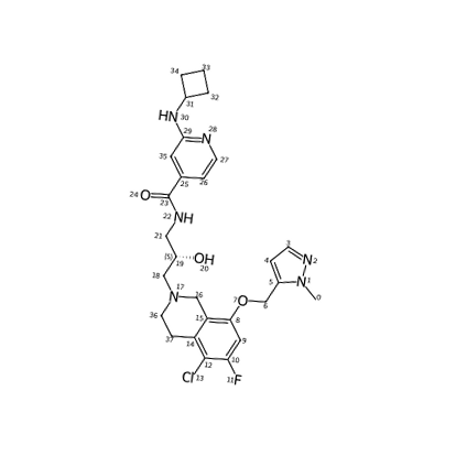 Cn1nccc1COc1cc(F)c(Cl)c2c1CN(C[C@@H](O)CNC(=O)c1ccnc(NC3CCC3)c1)CC2